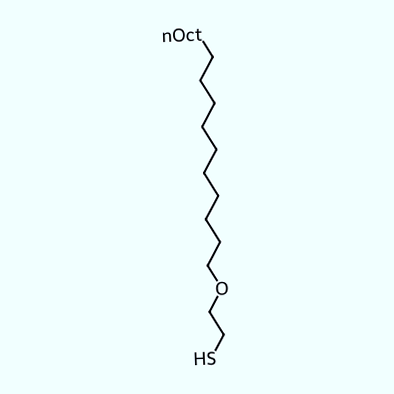 CCCCCCCCCCCCCCCCCCOCCS